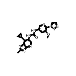 COc1cc(NC(=O)Nc2cnc3sc(C)nc3c2C2CC2)cnc1-n1ccnn1